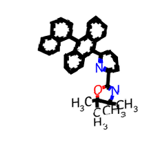 CC1(C)N=C(c2cccc(-c3c4ccccc4c(-c4cccc5ccccc45)c4ccccc34)n2)OC1(C)C